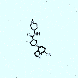 C[C@H]1CN(c2ccc(C#N)n3nccc23)CC1C(=O)NC1CCN(C)CC1